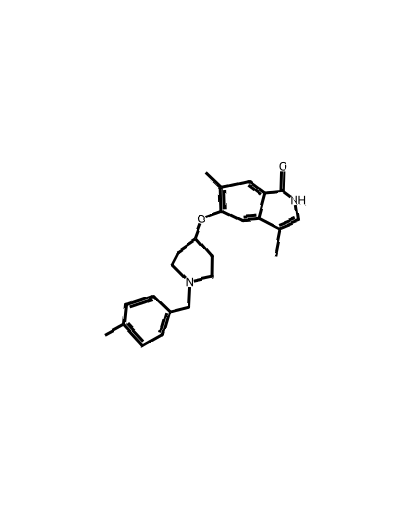 Cc1ccc(CN2CCC(Oc3cc4c(C)c[nH]c(=O)c4cc3C)CC2)cc1